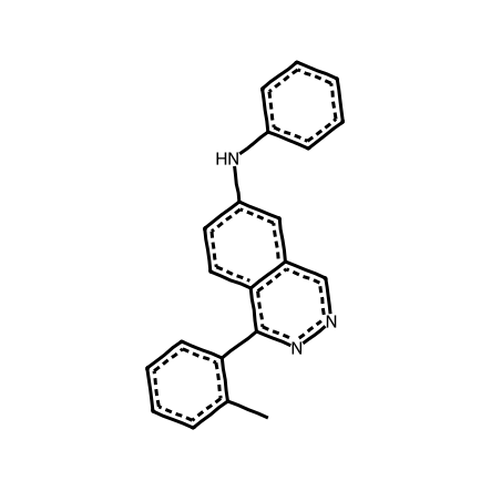 Cc1ccccc1-c1nncc2cc(Nc3ccccc3)ccc12